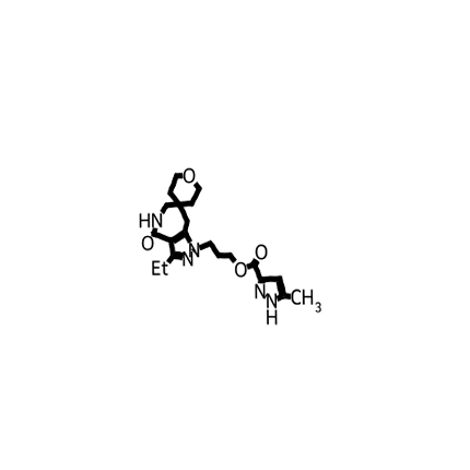 CCc1nn(CCCOC(=O)c2cc(C)[nH]n2)c2c1C(=O)NCC1(CCOCC1)C2